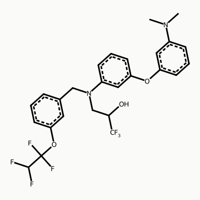 CN(C)c1cccc(Oc2cccc(N(Cc3cccc(OC(F)(F)C(F)F)c3)CC(O)C(F)(F)F)c2)c1